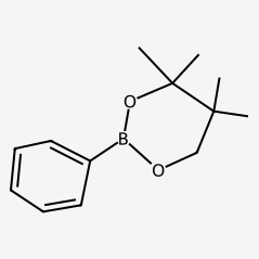 CC1(C)COB(c2ccccc2)OC1(C)C